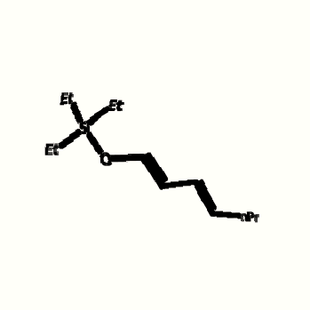 CCCC=CC=CO[Si](CC)(CC)CC